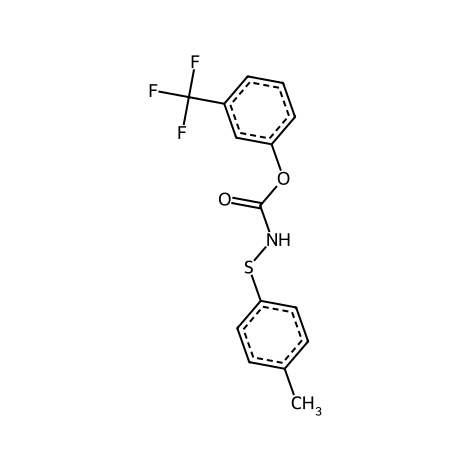 Cc1ccc(SNC(=O)Oc2cccc(C(F)(F)F)c2)cc1